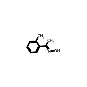 C/C(=N\O)c1ccccc1C